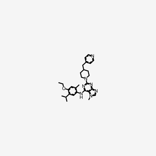 CCOc1cc(C)c(Nc2nc(N3CCC(Cc4ccncc4)CC3)nc3ncn(C)c23)cc1C(C)C